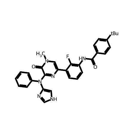 Cn1cc(-c2cccc(NC(=O)c3ccc(C(C)(C)C)cc3)c2F)nc(N(c2ccccc2)c2c[nH]cn2)c1=O